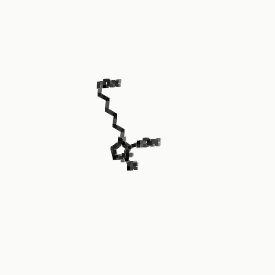 CCCCCCCCCCCCCCCCn1cc[n+](CC)c1CCCCCCCCCC